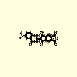 CN(C)c1ccc2c(c1)C(=O)NC(=C1C(=O)c3cc4c(cc3C1=O)C(=O)OC4=O)N2